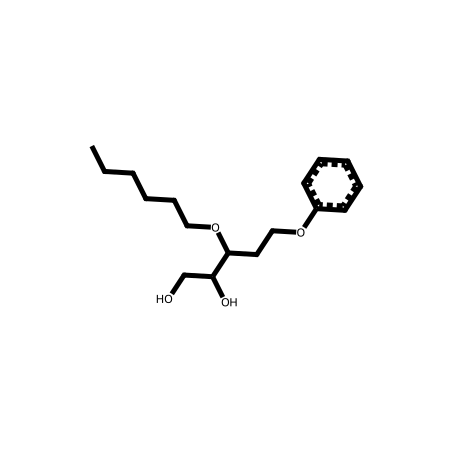 CCCCCCOC(CCOc1ccccc1)C(O)CO